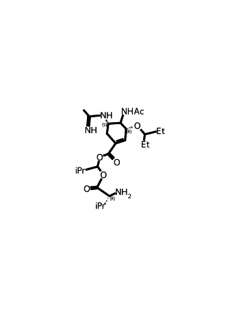 CCC(CC)O[C@@H]1C=C(C(=O)OC(OC(=O)[C@H](N)C(C)C)C(C)C)C[C@H](NC(C)=N)C1NC(C)=O